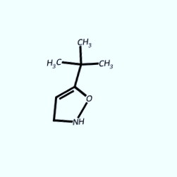 CC(C)(C)C1=CCNO1